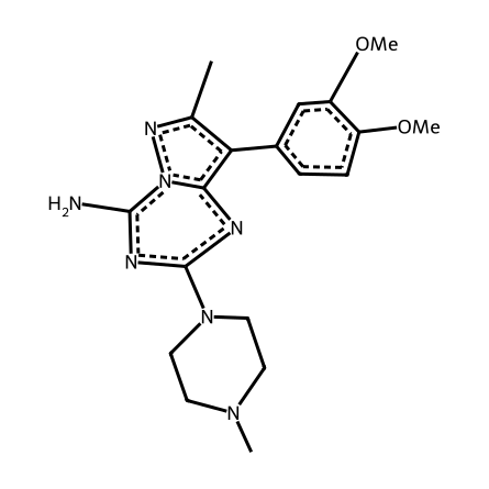 COc1ccc(-c2c(C)nn3c(N)nc(N4CCN(C)CC4)nc23)cc1OC